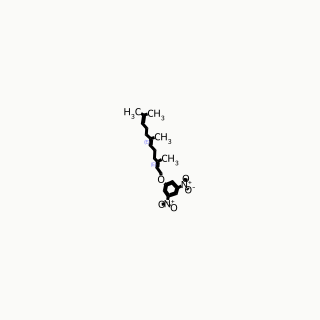 CC(C)=CCC/C(C)=C/CC/C(C)=C/COc1cc([N+](=O)[O-])cc([N+](=O)[O-])c1